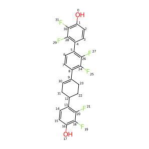 Oc1ccc(-c2ccc(C3=CCC(c4ccc(O)c(F)c4F)CC3)c(F)c2F)c(F)c1F